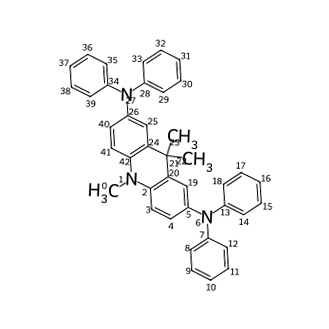 CN1c2ccc(N(c3ccccc3)c3ccccc3)cc2C(C)(C)c2cc(N(c3ccccc3)c3ccccc3)ccc21